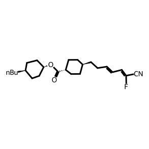 CCCC[C@H]1CC[C@H](OC(=O)[C@H]2CC[C@H](CCC=CC=C(F)C#N)CC2)CC1